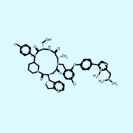 C[C@H]1C(=O)N[C@@H](CO)C(=O)N[C@@]2(Cc3ccc(Cl)cc3)CCCN(C2)C(=O)[C@H]([C@H]2CCc3ncccc32)CC(=O)N1Cc1ccc(Cl)cc1Oc1ccc(-c2cnc(CN(C)C)n2C)cc1